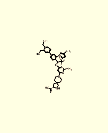 Cc1ccn(-c2cc(-c3ccc(CO)c(CO)c3)ccc2C(Oc2cc(N3CCC4(CC3)CN[C@H](C(=O)O)C4)nc(N)n2)C(F)(F)F)n1